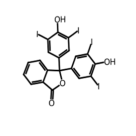 O=C1OC(c2cc(I)c(O)c(I)c2)(c2cc(I)c(O)c(I)c2)c2ccccc21